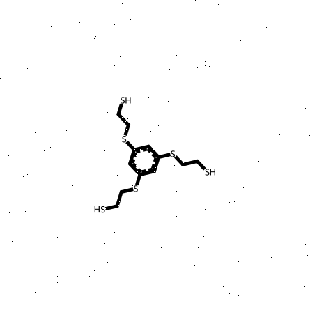 SCCSc1cc(SCCS)cc(SCCS)c1